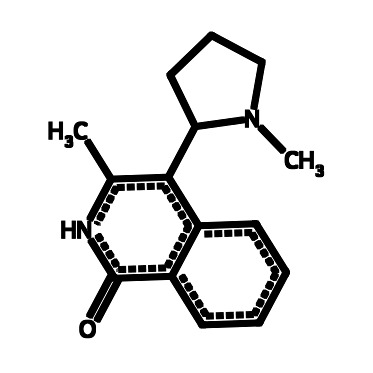 Cc1[nH]c(=O)c2ccccc2c1C1CCCN1C